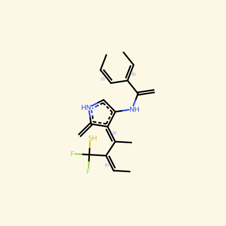 C=C(Nc1c[nH]c(=C)/c1=C(C)\C(=C/C)C(F)(F)S)C(/C=C\C)=C/C